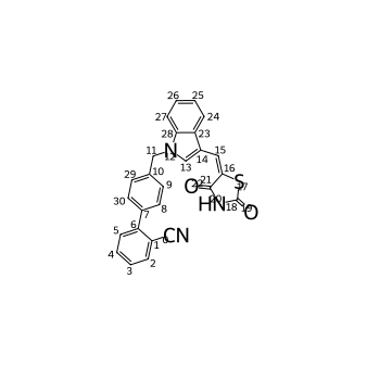 N#Cc1ccccc1-c1ccc(Cn2cc(/C=C3/SC(=O)NC3=O)c3ccccc32)cc1